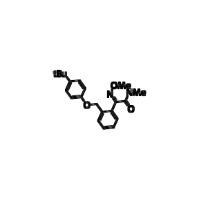 CNC(=O)/C(=N\OC)c1ccccc1COc1ccc(C(C)(C)C)cc1